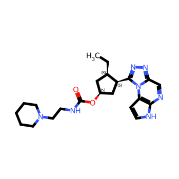 CC[C@@H]1C[C@H](OC(=O)NCCN2CCCCC2)C[C@@H]1c1nnc2cnc3[nH]ccc3n12